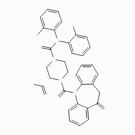 O=C1Cc2ccccc2N(C(=O)N2CCN(C(=O)N(c3ccccc3F)c3ccccc3F)C[C@H]2C(=O)O)c2ccccc21